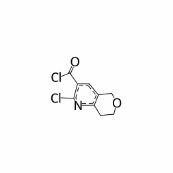 O=C(Cl)c1cc2c(nc1Cl)CCOC2